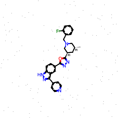 C[C@@H]1C[C@@H](c2nnc(-c3ccc4[nH]nc(-c5ccncc5)c4c3)o2)CN(Cc2ccccc2F)C1